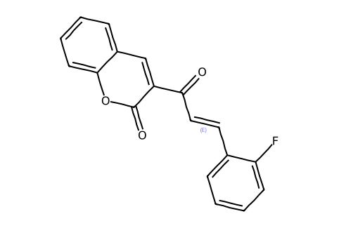 O=C(/C=C/c1ccccc1F)c1cc2ccccc2oc1=O